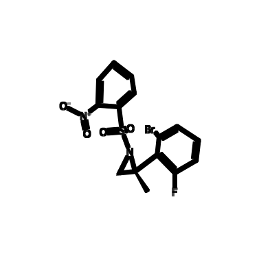 C[C@@]1(c2c(F)cccc2Br)CN1S(=O)(=O)c1ccccc1[N+](=O)[O-]